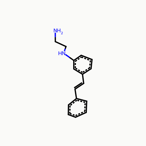 NCCNc1cccc(/C=C/c2ccccc2)c1